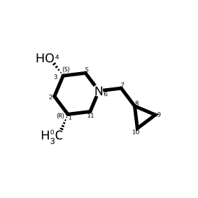 C[C@@H]1C[C@H](O)CN(CC2CC2)C1